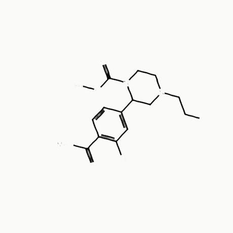 COC(=O)c1ccc(C2CN(CCC(F)(F)F)CCN2C(=O)OC(C)(C)C)cc1Cl